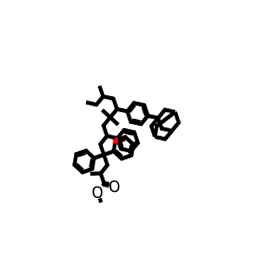 CCC(C)CC(c1ccc(C23CC4CC(CC(C4)C2)C3)cc1)C(C)(C)CC(CC(CC(C)C(=O)OC)(c1ccccc1)c1ccccc1)c1ccccc1